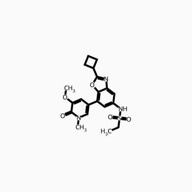 CCS(=O)(=O)Nc1cc(-c2cc(OC)c(=O)n(C)c2)c2oc(C3CCC3)nc2c1